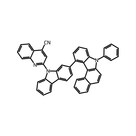 N#Cc1cc(-n2c3ccccc3c3ccc(-c4cccc5c4c4c6ccccc6ccc4n5-c4ccccc4)cc32)nc2ccccc12